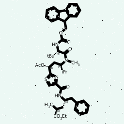 CCOC(=O)[C@@H](C)C[C@@H](Cc1ccccc1)NC(=O)c1csc([C@@H](C[C@H](C(C)C)N(C)C(=O)[C@@H](NC(=O)OCC2c3ccccc3-c3ccccc32)C(C)(C)C)OC(C)=O)n1